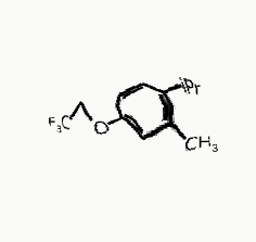 Cc1cc(OCC(F)(F)F)ccc1C(C)C